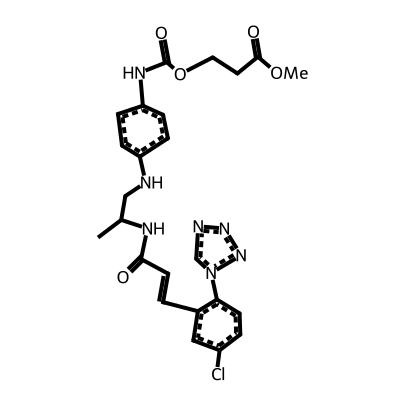 COC(=O)CCOC(=O)Nc1ccc(NCC(C)NC(=O)C=Cc2cc(Cl)ccc2-n2cnnn2)cc1